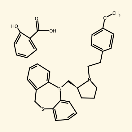 COc1ccc(CCN2CCC[C@H]2CN2c3ccccc3CSc3ccccc32)cc1.O=C(O)c1ccccc1O